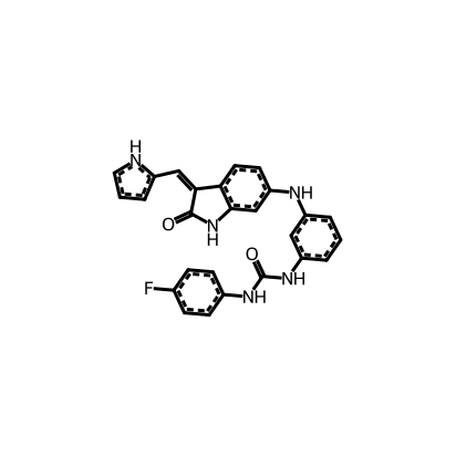 O=C(Nc1ccc(F)cc1)Nc1cccc(Nc2ccc3c(c2)NC(=O)C3=Cc2ccc[nH]2)c1